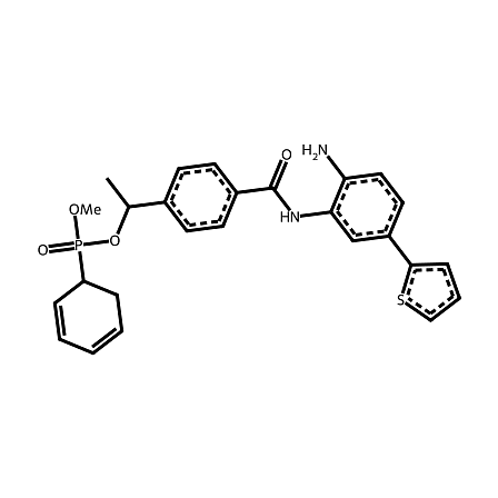 COP(=O)(OC(C)c1ccc(C(=O)Nc2cc(-c3cccs3)ccc2N)cc1)C1C=CC=CC1